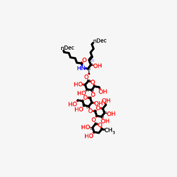 CCCCCCCCCCCCC/C=C/[C@@H](O)[C@H](CO[C@@H]1OC(CO)[C@@H](O[C@@H]2OC(CO)[C@H](O)[C@H](O[C@H]3OC(CO)[C@H](O)[C@H](O)C3O[C@@H]3OC(C)CC(O)[C@@H]3O)C2O)[C@H](O)C1O)NC(=O)CCCCCCCCCCCCCCC